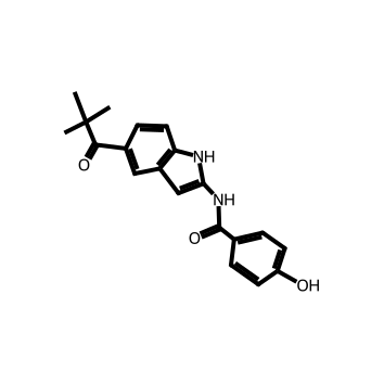 CC(C)(C)C(=O)c1ccc2[nH]c(NC(=O)c3ccc(O)cc3)cc2c1